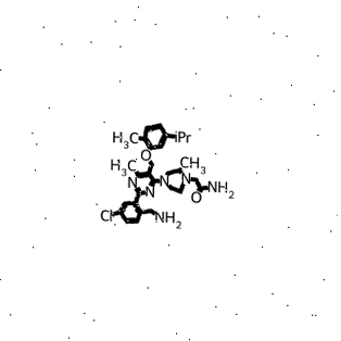 Cc1ccc(C(C)C)cc1OCc1c(C)nc(-c2cc(Cl)ccc2CN)nc1N1CCN(CC(N)=O)[C@H](C)C1